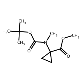 COC(=O)C1(N(C)C(=O)OC(C)(C)C)CC1